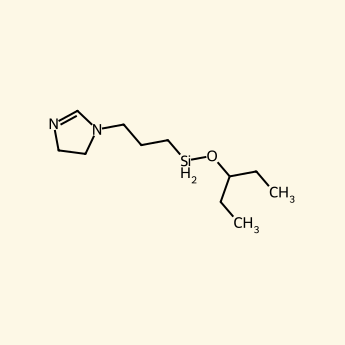 CCC(CC)O[SiH2]CCCN1C=NCC1